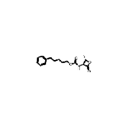 C[C@@H]1OC(=O)C1NC(=O)OCCCCCc1ccccc1